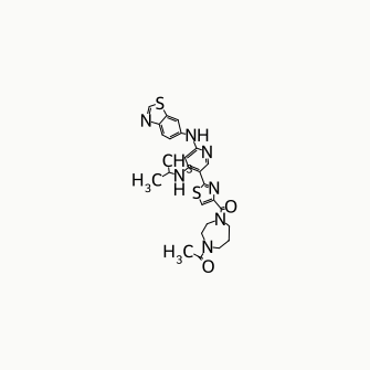 CC(=O)N1CCCN(C(=O)c2csc(-c3cnc(Nc4ccc5ncsc5c4)cc3NC(C)C)n2)CC1